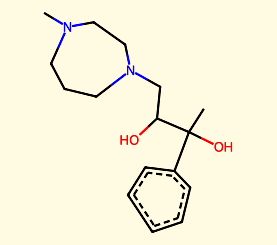 CN1CCCN(CC(O)C(C)(O)c2ccccc2)CC1